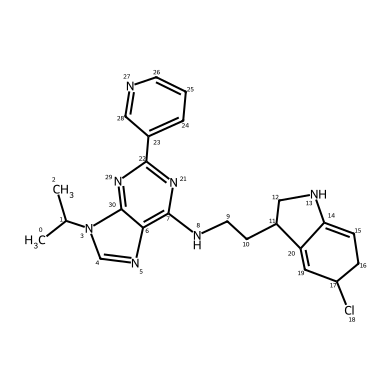 CC(C)n1cnc2c(NCCC3CNC4=CCC(Cl)C=C43)nc(-c3cccnc3)nc21